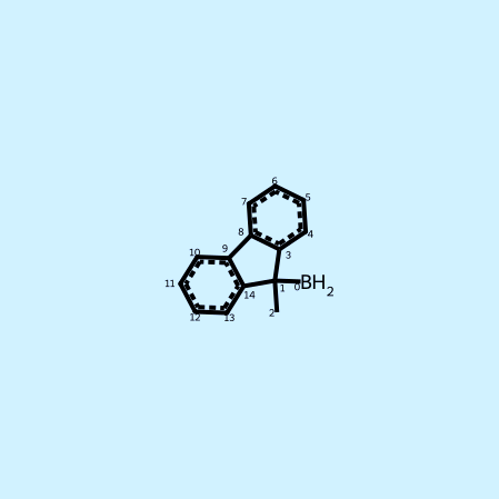 BC1(C)c2ccccc2-c2ccccc21